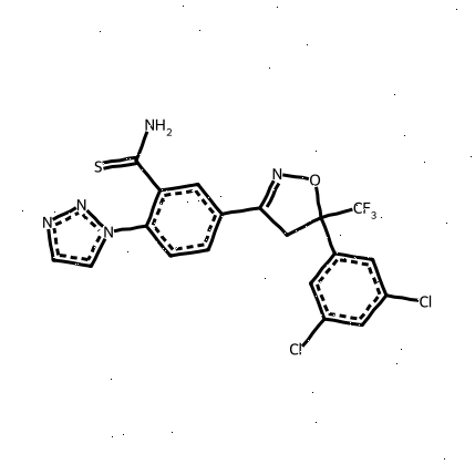 NC(=S)c1cc(C2=NOC(c3cc(Cl)cc(Cl)c3)(C(F)(F)F)C2)ccc1-n1ccnn1